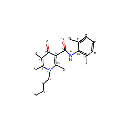 CCCCn1c(C)c(C)c(=O)c(C(=O)Nc2c(C)cccc2C)c1C